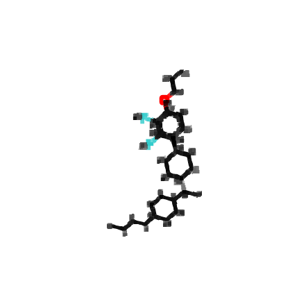 CCCCC1CCC(C(C)[C@H]2CC[C@H](c3ccc(OCCC)c(F)c3F)CC2)CC1